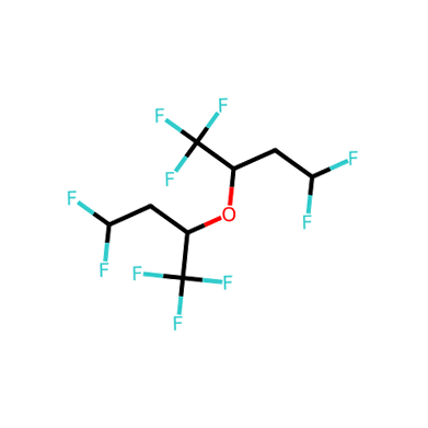 FC(F)CC(OC(CC(F)F)C(F)(F)F)C(F)(F)F